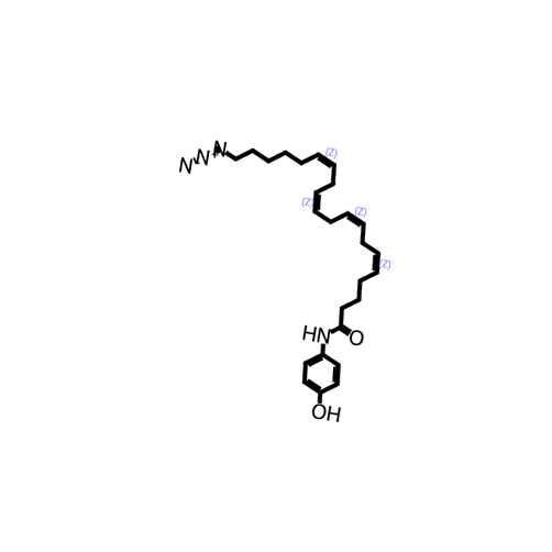 [N-]=[N+]=NCCCCC/C=C\C/C=C\C/C=C\C/C=C\CCCC(=O)Nc1ccc(O)cc1